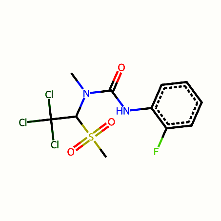 CN(C(=O)Nc1ccccc1F)C(C(Cl)(Cl)Cl)S(C)(=O)=O